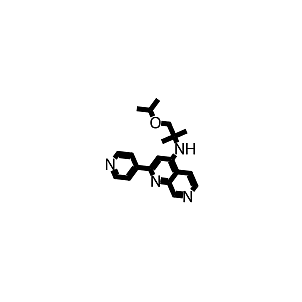 CC(C)OCC(C)(C)Nc1cc(-c2ccncc2)nc2cnccc12